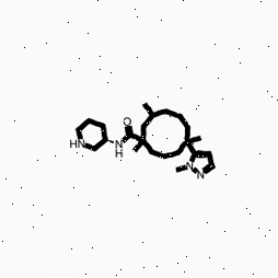 CC1CCCC(C)(c2ccnn2C)CCCC(C)(C(=O)N[C@H]2CCCNC2)C1